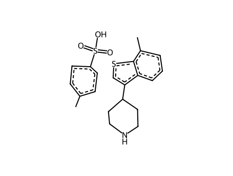 Cc1ccc(S(=O)(=O)O)cc1.Cc1cccc2c(C3CCNCC3)csc12